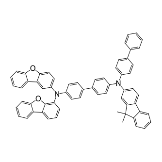 CC1(C)c2ccccc2-c2ccc(N(c3ccc(-c4ccccc4)cc3)c3ccc(-c4ccc(N(c5ccc6oc7ccccc7c6c5)c5cccc6c5oc5ccccc56)cc4)cc3)cc21